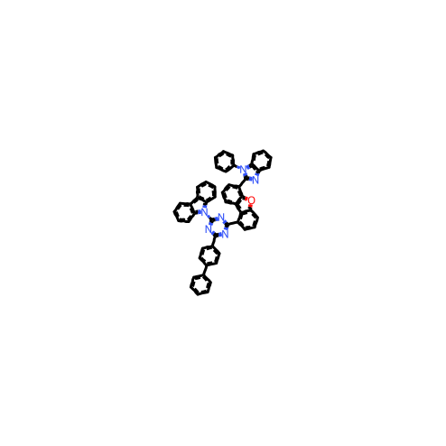 c1ccc(-c2ccc(-c3nc(-c4cccc5oc6c(-c7nc8ccccc8n7-c7ccccc7)cccc6c45)nc(-n4c5ccccc5c5ccccc54)n3)cc2)cc1